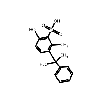 Cc1c(C(C)(C)c2ccccc2)ccc(O)c1S(=O)(=O)O